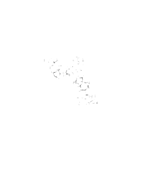 CCCC(=O)N[C@@H](c1cnn2cc([C@@H](NC(=O)c3ncnn3CC(C)(F)F)C3CCC(F)(F)CC3)nc2c1)C1CC1